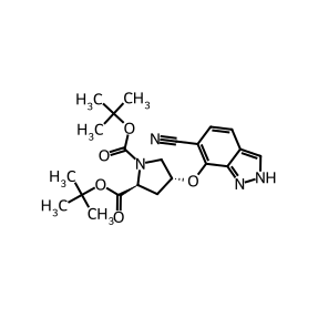 CC(C)(C)OC(=O)[C@@H]1C[C@@H](Oc2c(C#N)ccc3c[nH]nc23)CN1C(=O)OC(C)(C)C